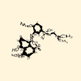 COc1ccc(S(=O)(=O)N=CN(C)C)cc1N=Nc1ccc(O)c2c(NC(C)=O)ccc(S(=O)(=O)Cl)c12